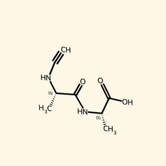 C#CN[C@@H](C)C(=O)N[C@@H](C)C(=O)O